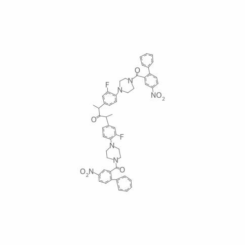 CC(C(=O)C(C)c1ccc(N2CCN(C(=O)c3cc([N+](=O)[O-])ccc3-c3ccccc3)CC2)c(F)c1)c1ccc(N2CCN(C(=O)c3cc([N+](=O)[O-])ccc3-c3ccccc3)CC2)c(F)c1